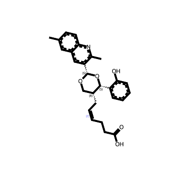 Cc1ccc2nc(C)c([C@H]3OC[C@@H](C/C=C\CCC(=O)O)[C@@H](c4ccccc4O)O3)cc2c1